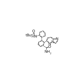 CC(C)(C)C(=O)Nc1ccccc1-c1cccc(C(N)=O)c1-c1ccc2nccn2n1